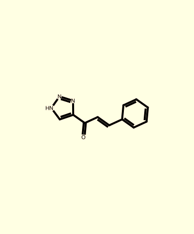 O=C(C=Cc1ccccc1)c1c[nH]nn1